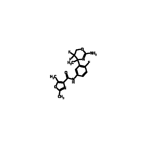 Cc1nc(C(=O)Nc2ccc(F)c(C3(C)N=C(N)OCC3(F)F)c2)c(C)o1